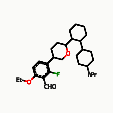 CCCC1CCC(C2CCCCC2C2CCC(c3ccc(OCC)c(C=O)c3F)CO2)CC1